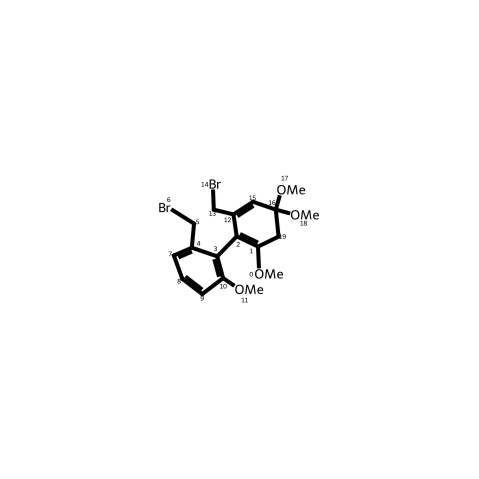 COC1=C(c2c(CBr)cccc2OC)C(CBr)=CC(OC)(OC)C1